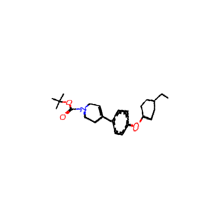 CCC1CCC(Oc2ccc(C3=CCN(C(=O)OC(C)(C)C)CC3)cc2)CC1